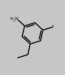 CCc1cc(N)cc(F)c1